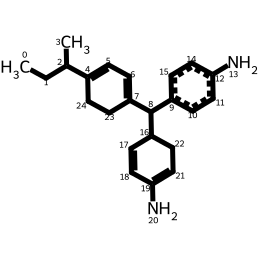 CCC(C)C1=CC=C(C(c2ccc(N)cc2)C2C=CC(N)=CC2)CC1